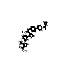 CC(Cc1ccc(C2CCN(C(=O)C3CC3)CC2)cc1)c1ccsc1-c1cccc(-n2ncc(C(=O)O)c2C(F)(F)F)n1